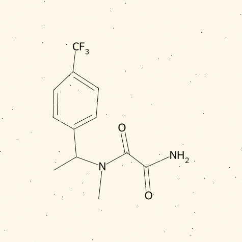 CC(c1ccc(C(F)(F)F)cc1)N(C)C(=O)C(N)=O